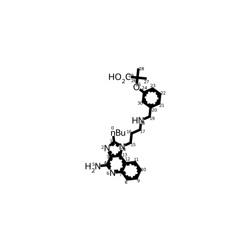 CCCCc1nc2c(N)nc3ccccc3c2n1CCCNCc1cccc(OC(C)(C)C(=O)O)c1